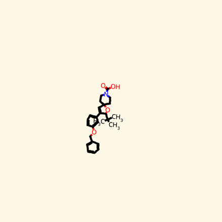 CC(C)(C)C1OC2(C=C1c1cccc(OCc3ccccc3)c1)CCN(C(=O)O)CC2